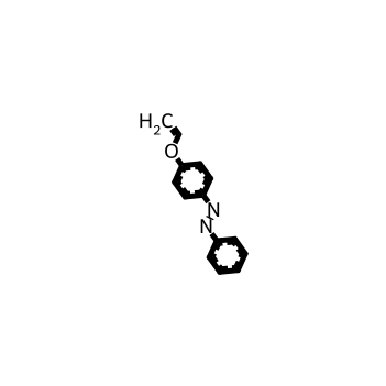 C=COc1ccc(/N=N/c2ccccc2)cc1